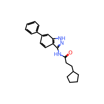 O=C(CCC1CCCC1)Nc1n[nH]c2cc(-c3ccccc3)ccc12